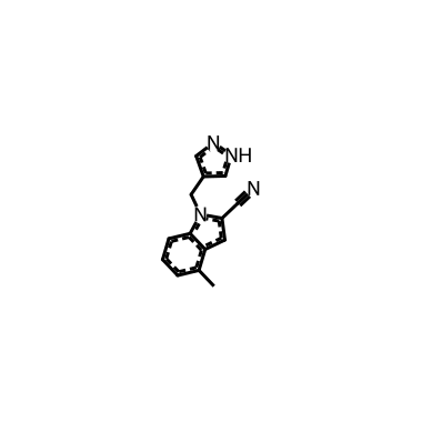 Cc1cccc2c1cc(C#N)n2Cc1cn[nH]c1